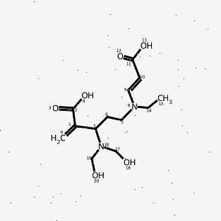 C=C(C(=O)O)C(CCN(C=CC(=O)O)CC)N(CO)CO